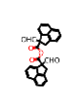 O=CC1(C(=O)OC(=O)C2(C=O)Cc3cccc4cccc2c34)Cc2cccc3cccc1c23